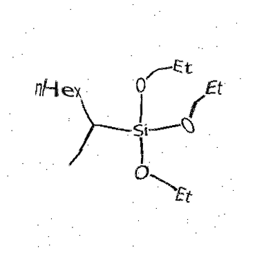 CCCCCCC(C)[Si](OCC)(OCC)OCC